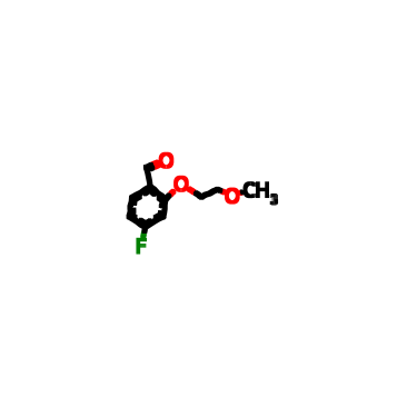 COCCOc1cc(F)ccc1C=O